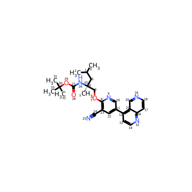 CC(C)C[C@@](C)(COc1ncc(-c2ccnc3ccncc23)cc1C#N)NC(=O)OC(C)(C)C